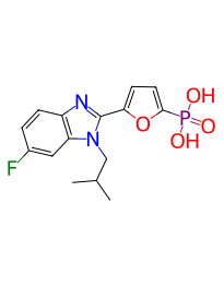 CC(C)Cn1c(-c2ccc(P(=O)(O)O)o2)nc2ccc(F)cc21